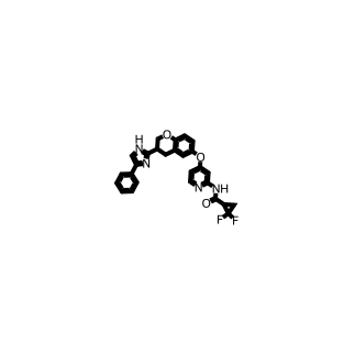 O=C(Nc1cc(Oc2ccc3c(c2)CC(c2nc(-c4ccccc4)c[nH]2)CO3)ccn1)C1CC1(F)F